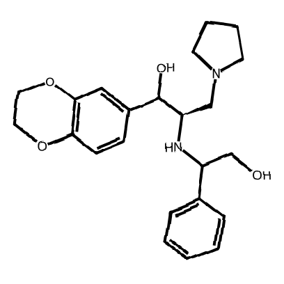 OCC(N[C@H](CN1CCCC1)C(O)c1ccc2c(c1)OCCO2)c1ccccc1